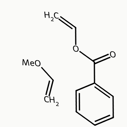 C=COC.C=COC(=O)c1ccccc1